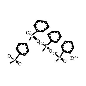 CP(=O)([O-])c1ccccc1.CP(=O)([O-])c1ccccc1.CP(=O)([O-])c1ccccc1.CP(=O)([O-])c1ccccc1.[Zr+4]